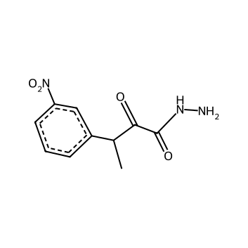 CC(C(=O)C(=O)NN)c1cccc([N+](=O)[O-])c1